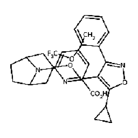 Cc1cc(C(=O)O)nc(N2C3CCC2CC(OCc2c(-c4ccccc4OC(F)(F)F)noc2C2CC2)C3)c1